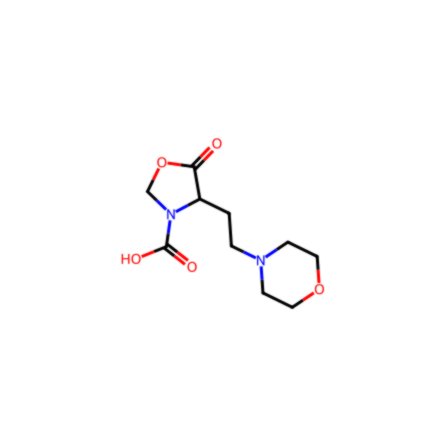 O=C1OCN(C(=O)O)C1CCN1CCOCC1